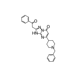 O=C(Cc1nn2c(=O)cc(C3CCN(Cc4ccccc4)CC3)nc2[nH]1)c1ccccc1